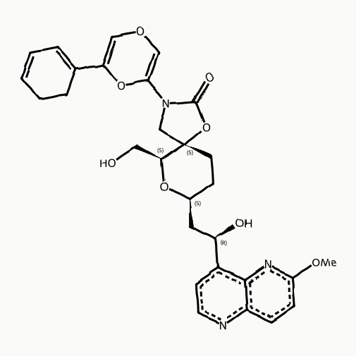 COc1ccc2nccc([C@H](O)C[C@@H]3CC[C@]4(CN(C5=COC=C(C6=CC=CCC6)O5)C(=O)O4)[C@H](CO)O3)c2n1